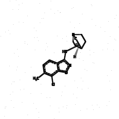 Cc1ccc2c(N[C@H]3CN4CCC3CC4)noc2c1Cl